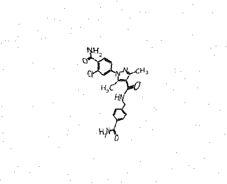 Cc1nn(-c2ccc(C(N)=O)c(Cl)c2)c(C)c1C(=O)NCc1ccc(C(N)=O)cc1